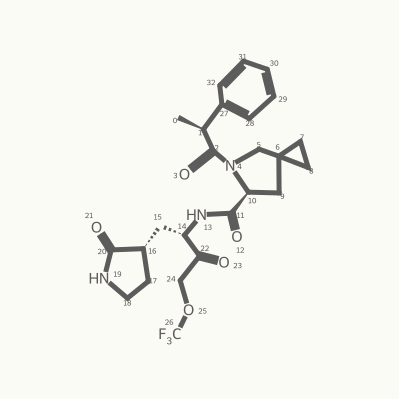 C[C@H](C(=O)N1CC2(CC2)C[C@H]1C(=O)N[C@@H](C[C@@H]1CCNC1=O)C(=O)COC(F)(F)F)c1ccccc1